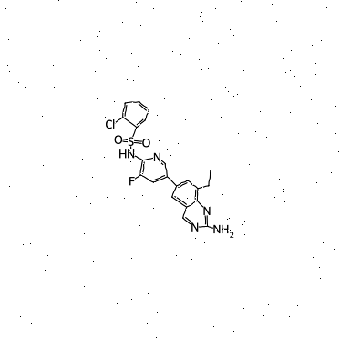 CCc1cc(-c2cnc(NS(=O)(=O)c3ccccc3Cl)c(F)c2)cc2cnc(N)nc12